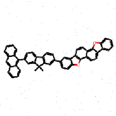 CC1(C)c2cc(-c3ccc4oc5c(ccc6c5ccc5c7ccccc7oc56)c4c3)ccc2-c2ccc(-c3c4ccccc4cc4ccccc34)cc21